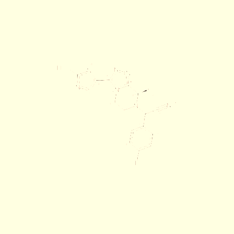 Cc1nsc(-c2nnc3n2CCN(C(C#N)c2ccc(F)cc2)[C@@H]3C)n1